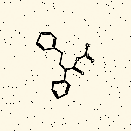 O=C(O[N+](=O)[O-])N(CCc1ccccc1)c1ccccc1